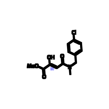 COC(=O)/C(O)=C/C(=O)N(C)Cc1ccc(Cl)cc1